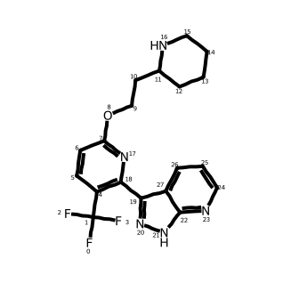 FC(F)(F)c1ccc(OCCC2CCCCN2)nc1-c1n[nH]c2ncccc12